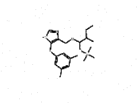 CCC(C)C(OCc1nc[nH]c1Sc1cc(C)cc(C)c1)O[Si](C)(C)C